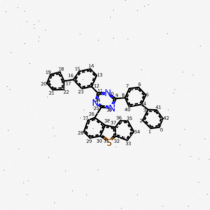 c1ccc(-c2cccc(-c3nc(-c4cccc(-c5ccccc5)c4)nc(-c4cccc5sc6ccccc6c45)n3)c2)cc1